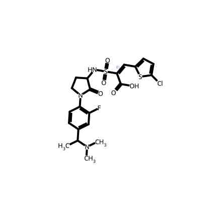 CC(c1ccc(N2CCC(NS(=O)(=O)/C(=C/c3ccc(Cl)s3)C(=O)O)C2=O)c(F)c1)N(C)C